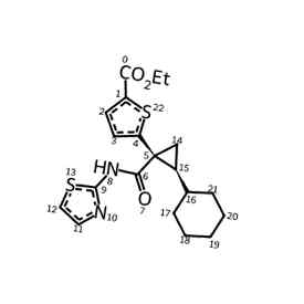 CCOC(=O)c1ccc([C@@]2(C(=O)Nc3nccs3)C[C@H]2C2CCCCC2)s1